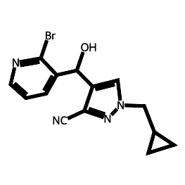 N#Cc1nn(CC2CC2)cc1C(O)c1cccnc1Br